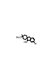 COC1(C)CCC2(CC1)Cc1ccc(Br)cc1C2=N